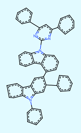 c1ccc(-c2cc(-c3ccccc3)nc(-n3c4ccccc4c4c(-c5cc6c7ccccc7n(-c7ccccc7)c6cc5-c5ccccc5)cccc43)n2)cc1